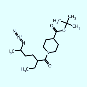 CCC(CCC(C)N=[N+]=[N-])C(=O)N1CCC(C(=O)OC(C)(C)C)CC1